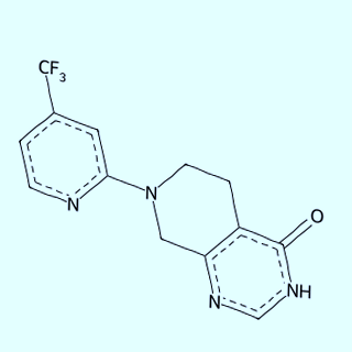 O=c1[nH]cnc2c1CCN(c1cc(C(F)(F)F)ccn1)C2